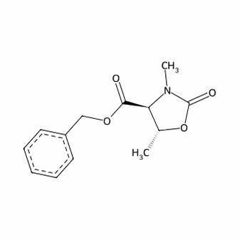 C[C@H]1OC(=O)N(C)[C@@H]1C(=O)OCc1ccccc1